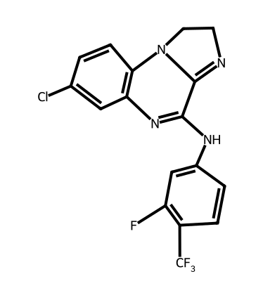 Fc1cc(NC2=Nc3cc(Cl)ccc3N3CCN=C23)ccc1C(F)(F)F